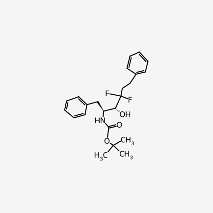 CC(C)(C)OC(=O)N[C@@H](Cc1ccccc1)[C@@H](O)C(F)(F)CCc1ccccc1